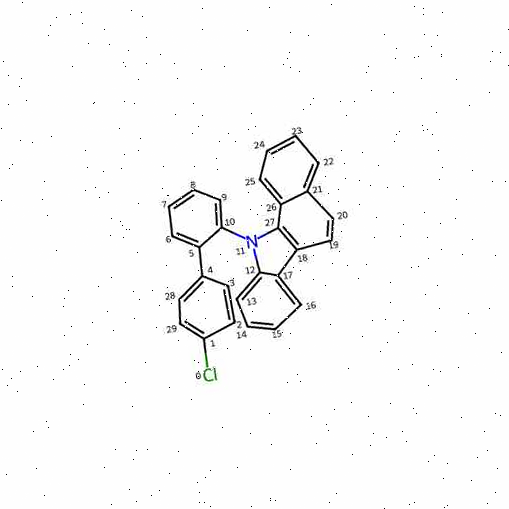 Clc1ccc(-c2ccccc2-n2c3ccccc3c3ccc4ccccc4c32)cc1